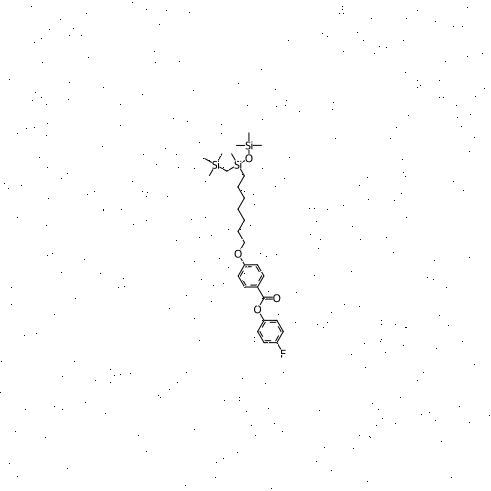 C[Si](C)(C)C[Si](C)(CCCCCCCOc1ccc(C(=O)Oc2ccc(F)cc2)cc1)O[Si](C)(C)C